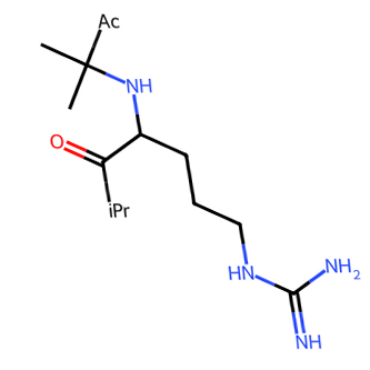 CC(=O)C(C)(C)NC(CCCNC(=N)N)C(=O)C(C)C